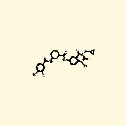 CC(C)n1c(=O)n(CC2CC2)c(=O)c2cc(NC(=O)C3CCCC(NC(=O)c4ccc(C#N)c(Cl)c4)C3)ccc21